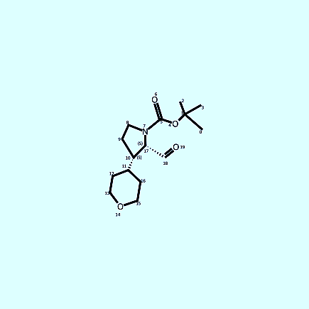 CC(C)(C)OC(=O)N1CC[C@@H](C2CCOCC2)[C@H]1C=O